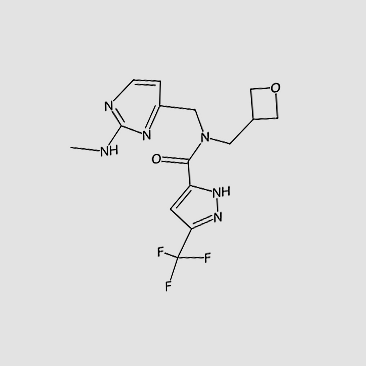 CNc1nccc(CN(CC2COC2)C(=O)c2cc(C(F)(F)F)n[nH]2)n1